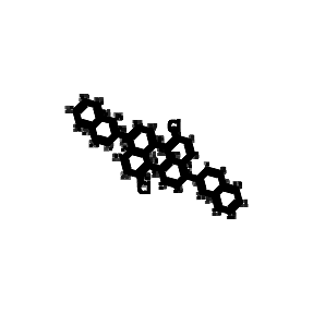 Clc1ccc2c(-c3ccc4ccccc4c3)ccc3c4c(Cl)ccc5c(-c6ccc7ccccc7c6)ccc(c1c23)c54